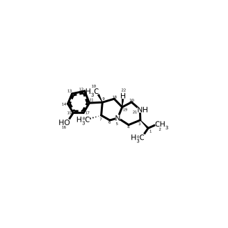 CC(C)[C@H]1CN2C[C@H](C)[C@](C)(c3cccc(O)c3)C[C@@H]2CN1